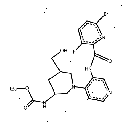 CC(C)(C)OC(=O)NC1CC(CO)CN(c2ccncc2NC(=O)c2nc(Br)ccc2F)C1